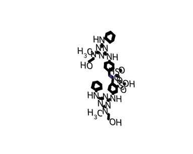 CN(CCO)c1nc(Nc2ccccc2)nc(Nc2ccc(/C=C/c3ccc(Nc4nc(Nc5ccccc5)nc(N(C)CCO)n4)cc3S(=O)(=O)O)c([SH](=O)=O)c2)n1